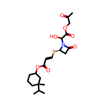 CC(=O)COC(=O)C(O)N1C(=O)C[C@H]1SC=CC(=O)OC1CCCC(C)(C(C)C)C1